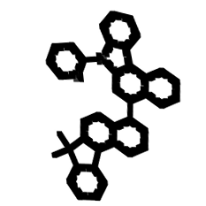 CC1(C)c2ccccc2-c2c1ccc1c(-c3cc4c(c5ccccc35)c3ccccc3n4-c3ccccn3)cccc21